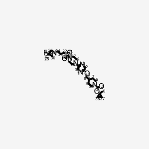 CC1(OC(=O)N2CCC(COc3cnc(N4CCN(S(=O)(=O)CCCN5CC(F)(F)C5)CC4)cn3)CC2)CC1